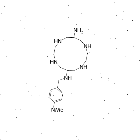 CNc1ccc(CNC2CNCCNCC(N)CNCCNC2)cc1